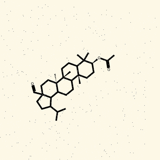 CC(=O)O[C@H]1CC[C@@]2(C)C(CC[C@]3(C)C2CCC2C4C(C(C)C)CCC4(C=O)CC[C@]23C)C1(C)C